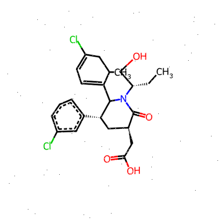 CC[C@@H](CO)N1C(=O)[C@@H](CC(=O)O)C[C@H](c2cccc(Cl)c2)C1C1=CC=C(Cl)CC1C